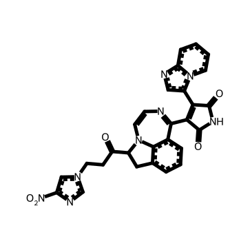 O=C1NC(=O)C(c2cnc3ccccn23)=C1C1=NC=CN2c3c(cccc31)CC2C(=O)CCn1cnc([N+](=O)[O-])c1